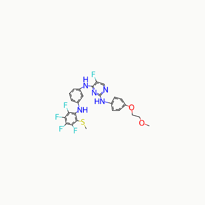 COCCOc1ccc(Nc2ncc(F)c(Nc3cccc(Nc4c(F)c(F)c(F)c(F)c4SC)c3)n2)cc1